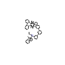 C=C/C=C(/c1cccc(-c2cccc(-c3ccc4oc5nc6c7ccccc7c7ccccc7c6nc5c4c3)c2)c1)c1oc2ccccc2c1C